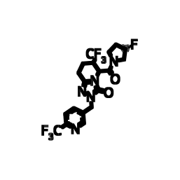 O=C(C1C(C(F)(F)F)CCc2nn(Cc3ccc(C(F)(F)F)nc3)c(=O)n21)N1CC[C@H](F)C1